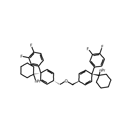 CCCC1([C@]2(c3ccc(F)c(F)c3)C=C[C@H](COC[C@H]3C=C[C@@](c4ccc(F)c(F)c4)(C4(CCC)CCCCC4)C=C3)C=C2)CCCCC1